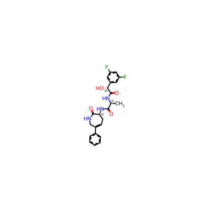 C[C@H](NC(=O)[C@H](O)c1cc(F)cc(F)c1)C(=O)N[C@H]1CC=C(c2ccccc2)CNC1=O